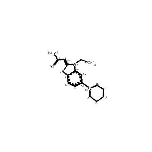 CCN1/C(=C/C(C)=O)Sc2ccc(N3CCCCC3)cc21